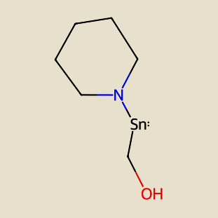 O[CH2][Sn][N]1CCCCC1